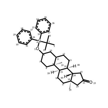 CC(C)(C)[Si](OC1CC[C@@]2(C)C(CC[C@@H]3[C@H]2CC[C@]2(C)CC(=O)C[C@@H]32)C1)(c1ccccc1)c1ccccc1